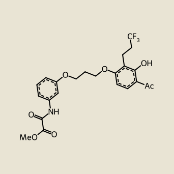 COC(=O)C(=O)Nc1cccc(OCCCOc2ccc(C(C)=O)c(O)c2CCC(F)(F)F)c1